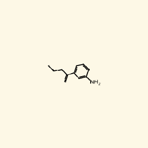 C=C(CCC)c1cccc(N)c1